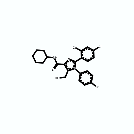 O=C(NC1CCCCC1)c1nc(-c2ccc(Cl)cc2Cl)n(-c2ccc(Br)cc2)c1CO